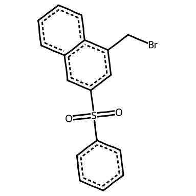 O=S(=O)(c1ccccc1)c1cc(CBr)c2ccccc2c1